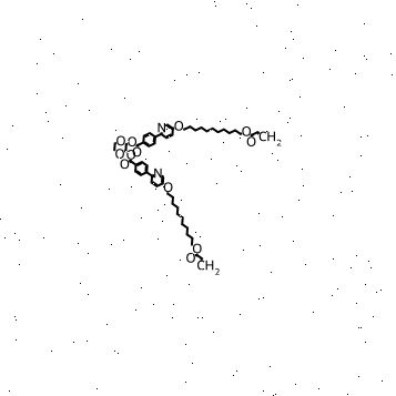 C=CC(=O)OCCCCCCCCCCCOc1ccc(-c2ccc(C(=O)OC3OCCOC3OC(=O)c3ccc(-c4ccc(OCCCCCCCCCCCOC(=O)C=C)cn4)cc3)cc2)nc1